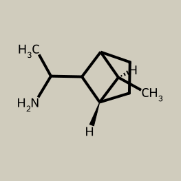 CC(N)C1C2CC[C@H]1[C@@H]2C